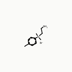 Cc1ccc([N+](C)(C)CCN)cc1.[Br-]